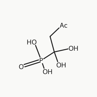 CC(=O)CC(O)(O)P(=O)(O)O